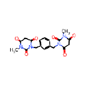 CN1C(=O)CC(=O)N(Cc2cccc(CN3C(=O)CC(=O)N(C)C3=O)c2)C1=O